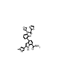 Cc1c(-c2ccc(C(N)=O)c3[nH]c(-c4cnn(C)c4)cc23)cccc1N(C(=O)c1nccs1)C1COC1